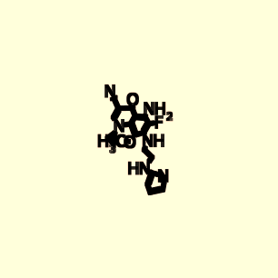 COc1c(NCCNc2ccccn2)c(F)c(N)c2c(=O)c(C#N)cn(C3CC3)c12